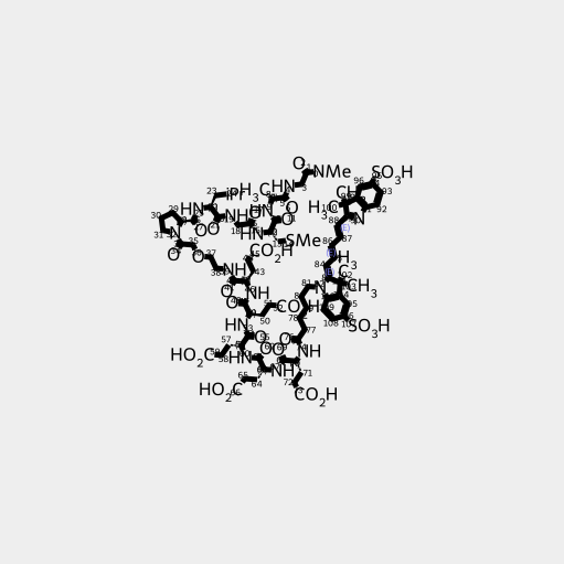 CNC(=O)CNC(=O)[C@H](C)NC(=O)[C@H](CSC)NC(=O)CNC(=O)[C@H](CC(C)C)NC(=O)[C@@H]1CCCN1C(=O)COCCNC(=O)[C@@H](CCC(=O)O)NC(=O)[C@@H](CCC(=O)O)NC(=O)[C@@H](CCC(=O)O)NC(=O)[C@@H](CCC(=O)O)NC(=O)[C@@H](CCC(=O)O)NC(=O)CCCCCN1/C(=C/C=C/C=C/C2=Nc3ccc(S(=O)(=O)O)cc3C2(C)C)C(C)(C)c2cc(S(=O)(=O)O)ccc21